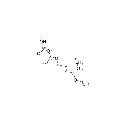 COC(CCCOC(=O)OC(=O)O)OC